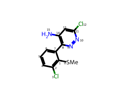 CSc1c(Cl)cccc1-c1nnc(Cl)cc1N